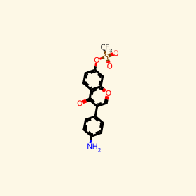 Nc1ccc(-c2coc3cc(OS(=O)(=O)C(F)(F)F)ccc3c2=O)cc1